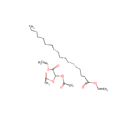 C=COC(=O)C(OC(C)=O)OC(C)=O.C=COC(=O)CCCCCCCCCCCCCCCCC